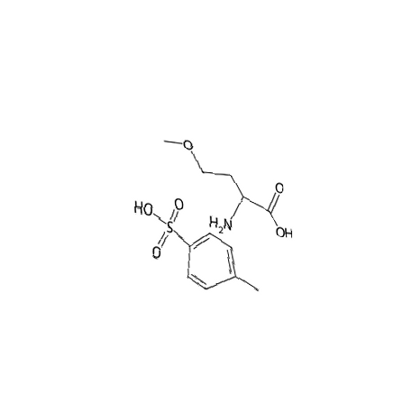 COCCC(N)C(=O)O.Cc1ccc(S(=O)(=O)O)cc1